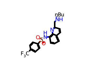 CCCCNCc1ccc2cccc(NS(=O)(=O)c3ccc(C(F)(F)F)cc3)c2n1